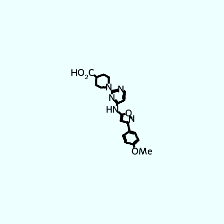 COc1ccc(-c2cc(Nc3ccnc(N4CCC(C(=O)O)CC4)n3)on2)cc1